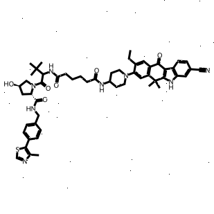 CCc1cc2c(cc1N1CCC(NC(=O)CCCCC(=O)NC(C(=O)N3C[C@H](O)C[C@H]3C(=O)NCc3ccc(-c4scnc4C)cc3)C(C)(C)C)CC1)C(C)(C)c1[nH]c3cc(C#N)ccc3c1C2=O